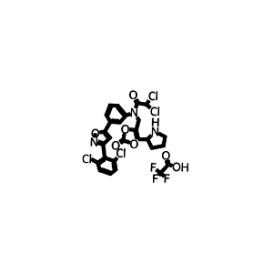 O=C(C(Cl)Cl)N(Cc1oc(=O)oc1C1CCCN1)c1cccc(-c2cc(-c3c(Cl)cccc3Cl)no2)c1.O=C(O)C(F)(F)F